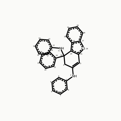 C1=C(Nc2ccccc2)CC(Nc2ccccc2)(c2ccccc2)c2c1sc1ccccc21